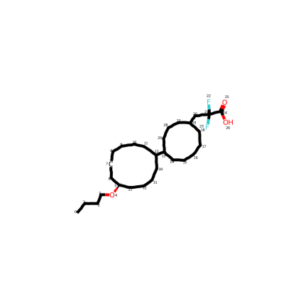 CCCCO[C@H]1CCCCCCC(C2CCCCCC(CC(F)(F)C(=O)O)CCC2)CCCC1